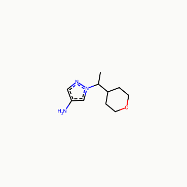 CC(C1CCOCC1)n1cc(N)cn1